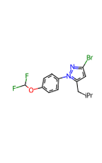 CC(C)Cc1cc(Br)nn1-c1ccc(OC(F)F)cc1